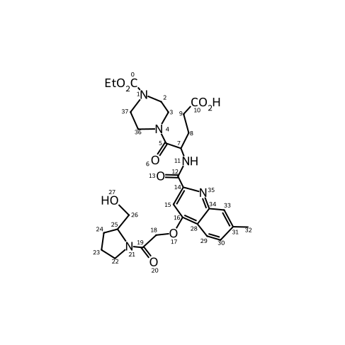 CCOC(=O)N1CCN(C(=O)C(CCC(=O)O)NC(=O)c2cc(OCC(=O)N3CCCC3CO)c3ccc(C)cc3n2)CC1